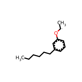 C[CH]Oc1cccc(CCCCCC)c1